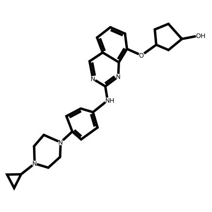 OC1CCC(Oc2cccc3cnc(Nc4ccc(N5CCN(C6CC6)CC5)cc4)nc23)C1